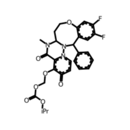 CC(C)OC(=O)OCOc1c2n(ccc1=O)N1C(c3ccccc3)c3cc(F)c(F)cc3OCCC1N(C)C2=O